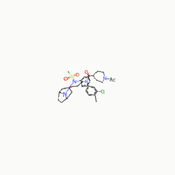 CC(=O)N1CCC(C(=O)N(CCCN2C3CCC2CC(N(c2ccccc2)S(C)(=O)=O)C3)c2ccc(C)c(Cl)c2)CC1